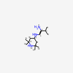 CC(C)/C(N)=C/NC1CC(C)(C)NC(C)(C)C1